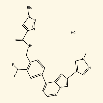 Cl.Cn1cc(-c2cc3c(-c4ccc(CNC(=O)c5cn(C(C)(C)C)nn5)c(C(F)F)c4)ncnn3c2)cn1